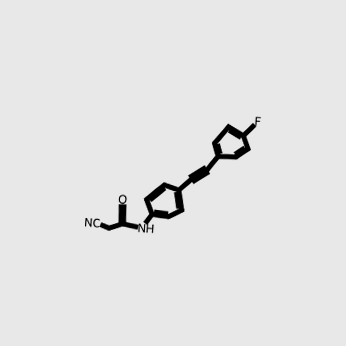 N#CCC(=O)Nc1ccc(C#Cc2ccc(F)cc2)cc1